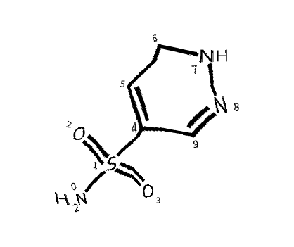 NS(=O)(=O)C1=CCNN=C1